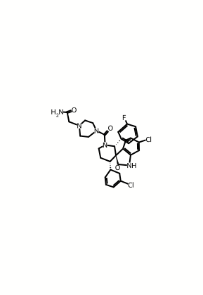 NC(=O)CN1CCN(C(=O)N2CC[C@@H](C3C=CC=C(Cl)C3)[C@]3(C(=O)Nc4cc(Cl)ccc43)[C@H]2c2cccc(F)c2)CC1